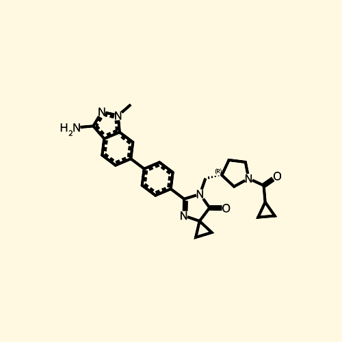 Cn1nc(N)c2ccc(-c3ccc(C4=NC5(CC5)C(=O)N4C[C@@H]4CCN(C(=O)C5CC5)C4)cc3)cc21